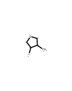 CC1COCC1I